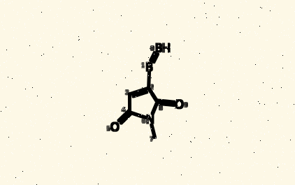 B=BC1=CC(=O)N(C)C1=O